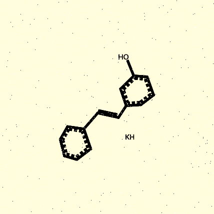 Oc1cccc(C=Cc2ccccc2)c1.[KH]